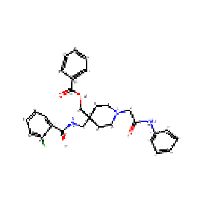 O=C(CN1CCC(CNC(=O)c2ccccc2F)(COC(=O)c2ccccc2)CC1)Nc1ccccc1